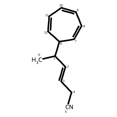 CC(C=CCC#N)C1C=CC=CC=C1